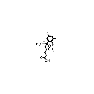 COC(CCCCC(=O)O)(OC)c1cc(Br)cc(F)c1F